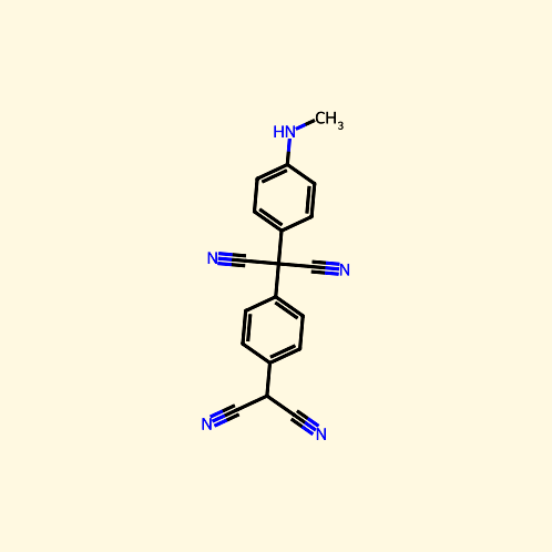 CNc1ccc(C(C#N)(C#N)c2ccc(C(C#N)C#N)cc2)cc1